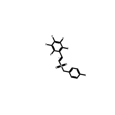 O=S(=O)(/C=C/c1c(F)c(F)c(F)c(F)c1F)Cc1ccc(I)cc1